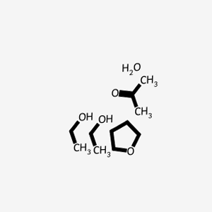 C1CCOC1.CC(C)=O.CCO.CCO.O